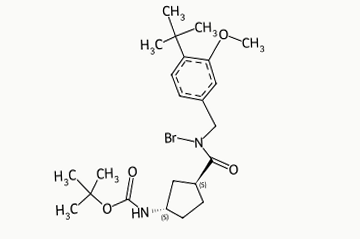 COc1cc(CN(Br)C(=O)[C@H]2CC[C@H](NC(=O)OC(C)(C)C)C2)ccc1C(C)(C)C